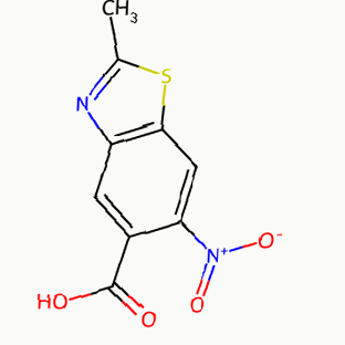 Cc1nc2cc(C(=O)O)c([N+](=O)[O-])cc2s1